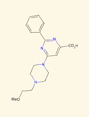 COCCN1CCN(c2cc(C(=O)O)nc(-c3ccccc3)n2)CC1